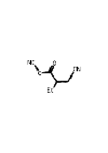 CCC(CC#N)C(=O)OC#N